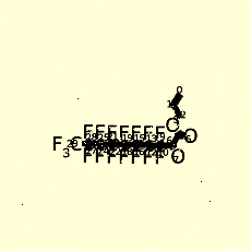 C=CCOC(=O)C(=O)C(F)(F)C(F)(F)C(F)(F)C(F)(F)C(F)(F)C(F)(F)C(F)(F)C(F)(F)F